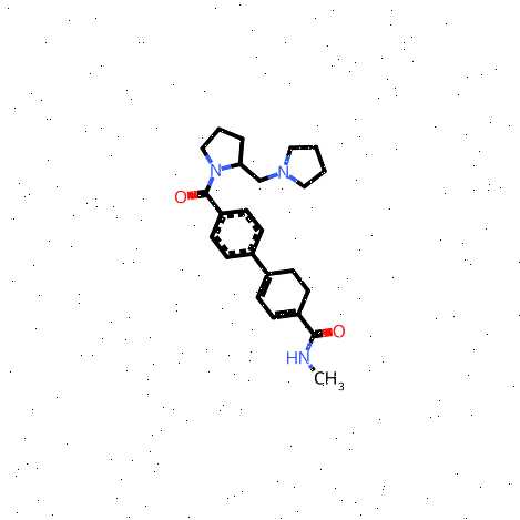 CNC(=O)C1=CC=C(c2ccc(C(=O)N3CCCC3CN3CCCC3)cc2)CC1